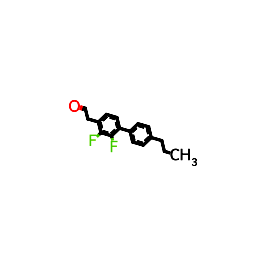 CCCc1ccc(-c2ccc(CC=O)c(F)c2F)cc1